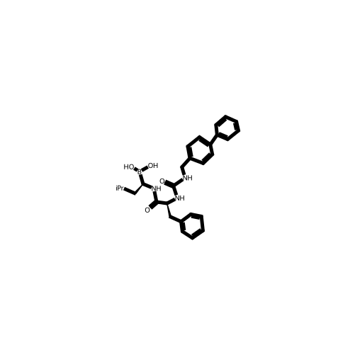 CC(C)C[C@H](NC(=O)[C@H](Cc1ccccc1)NC(=O)NCc1ccc(-c2ccccc2)cc1)B(O)O